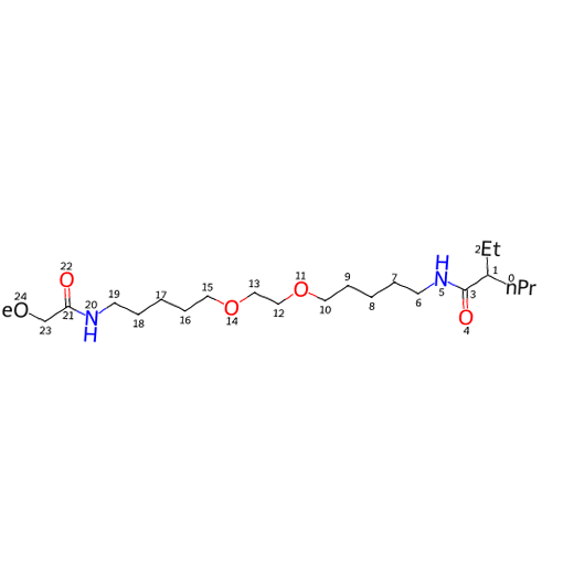 CCCC(CC)C(=O)NCCCCCOCCOCCCCCNC(=O)COC